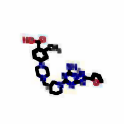 Cc1cc(N2CCN(C[C@@H]3CCCN(c4nc(N)n5nc(-c6ccco6)nc5n4)C3)CC2)ccc1C(=O)O